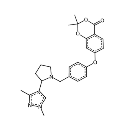 Cc1nn(C)cc1C1CCCN1Cc1ccc(Oc2ccc3c(c2)OC(C)(C)OC3=O)cc1